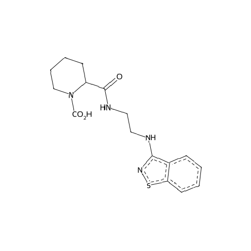 O=C(NCCNc1nsc2ccccc12)C1CCCCN1C(=O)O